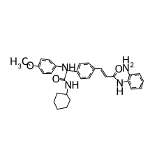 COc1ccc(NC(C(=O)NC2CCCCC2)c2ccc(/C=C/C(=O)Nc3ccccc3N)cc2)cc1